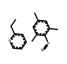 CCc1ccccn1.Cc1cc(C)c([N]=[Ni])c(C)c1